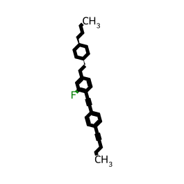 CCCC#Cc1ccc(C#Cc2ccc(CC[C@H]3CC[C@H](CCCC)CC3)cc2F)cc1